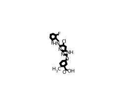 Cc1ccc(Oc2nc3nc(NCc4c(F)cccc4F)c(Cl)cc3[nH]2)cc1C(=O)O